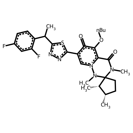 CCCCOc1c2n(cc(-c3nnc(C(C)c4ccc(F)cc4F)s3)c1=O)N(C)C1(CC[C@H](C)[C@@H]1C)N(C)C2=O